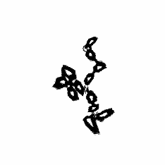 c1ccc(C2(c3ccc(N(c4ccc(-c5ccc(-n6c7ccccc7c7ccccc76)cc5)cc4)c4ccc(-c5cccc(-c6ccc7oc8ccccc8c7c6)c5)cc4)cc3)c3ccccc3-c3ccccc32)cc1